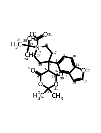 CC1(C)OC(=O)C(C2(c3ccc4occc4c3)CC[N+](C(=O)[O-])(C(C)(C)C)CC2)C(=O)O1